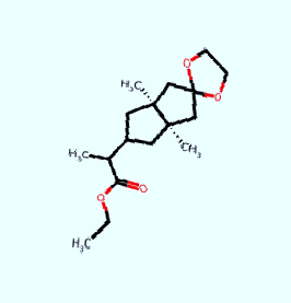 CCOC(=O)C(C)C1C[C@@]2(C)CC3(C[C@@]2(C)C1)OCCO3